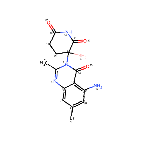 BC1(n2c(C)nc3cc(CC)cc(N)c3c2=O)CCC(=O)NC1=O